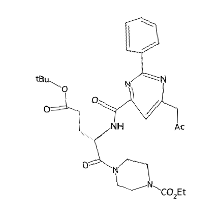 CCOC(=O)N1CCN(C(=O)[C@H](CCC(=O)OC(C)(C)C)NC(=O)c2cc(CC(C)=O)nc(-c3ccccc3)n2)CC1